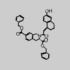 O=C(OCc1ccccc1)c1ccc2c(c1)CN(C(=O)CC1CCCc3cc(O)ccc31)[C@@H](C(=O)OCc1ccccc1)C2